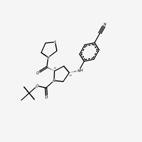 CC(C)(C)OC(=O)N1C[C@@H](Nc2ccc(C#N)cc2)C[C@H]1C(=O)N1CCSC1